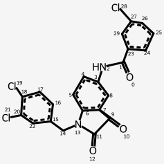 O=C(Nc1ccc2c(c1)C(=O)C(=O)N2Cc1ccc(Cl)c(Cl)c1)c1cccc(Cl)c1